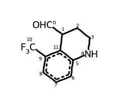 O=CC1CCNc2cccc(C(F)(F)F)c21